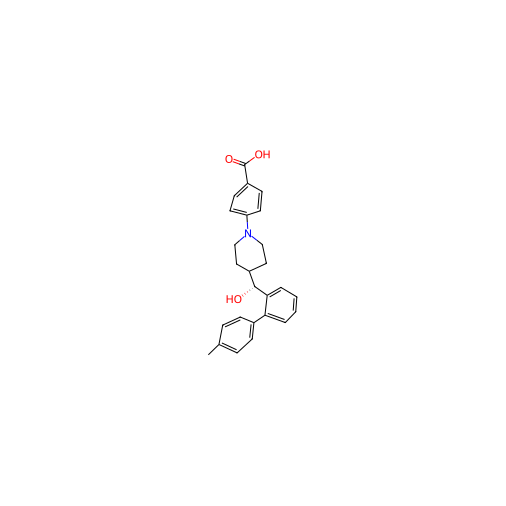 Cc1ccc(-c2ccccc2[C@H](O)C2CCN(c3ccc(C(=O)O)cc3)CC2)cc1